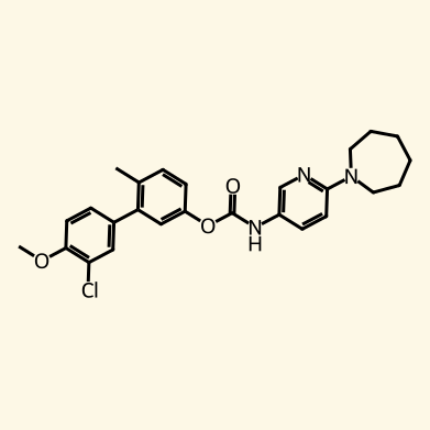 COc1ccc(-c2cc(OC(=O)Nc3ccc(N4CCCCCC4)nc3)ccc2C)cc1Cl